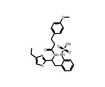 CCc1csc(C(Cc2ccccc2NS(=O)(=O)O)NC(=O)CCc2ccc(OC)cc2)n1